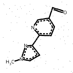 Cn1ccc(-c2ccc(C=O)cn2)n1